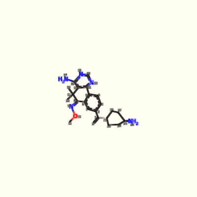 C=C(c1ccc2c(c1)/C(=N\OC)C(C)(C)c1c(N)ncnc1-2)[C@H]1CC[C@H](N)CC1